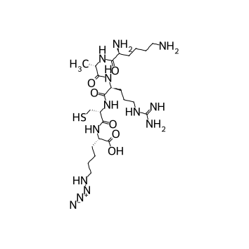 C[C@H](NC(=O)[C@@H](N)CCCCN)C(=O)N[C@@H](CCCNC(=N)N)C(=O)N[C@@H](CS)C(=O)N[C@@H](CCCCNN=[N+]=[N-])C(=O)O